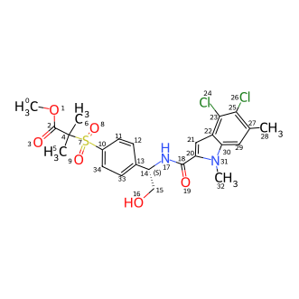 COC(=O)C(C)(C)S(=O)(=O)c1ccc([C@@H](CO)NC(=O)c2cc3c(Cl)c(Cl)c(C)cc3n2C)cc1